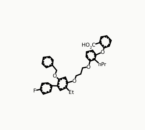 CCCc1c(OCCCOc2cc(OCc3ccccc3)c(-c3ccc(F)cc3)cc2CC)cccc1Oc1ccccc1C(=O)O